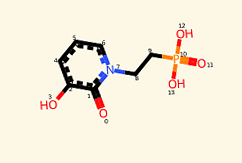 O=c1c(O)cccn1CCP(=O)(O)O